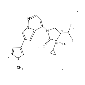 Cn1cc(-c2cc3c(N4C[C@H](C(F)F)[C@@](C#N)(C5CC5)C4=O)ccnn3c2)cn1